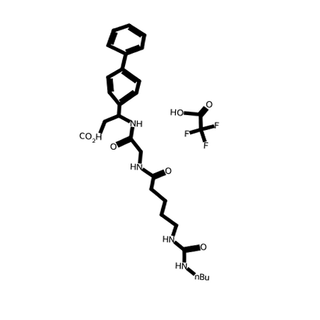 CCCCNC(=O)NCCCCC(=O)NCC(=O)NC(CC(=O)O)c1ccc(-c2ccccc2)cc1.O=C(O)C(F)(F)F